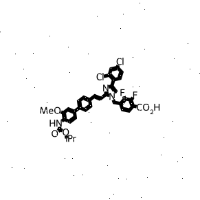 COc1cc(-c2ccc(C=Cc3nc(-c4ccc(Cl)cc4Cl)cn3Cc3ccc(C(=O)O)c(F)c3F)cc2)ccc1NC(=O)OC(C)C